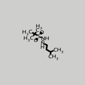 CC(C)CCNNS(=O)(=O)C(C)(C)C